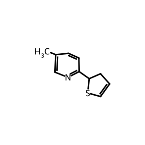 Cc1ccc(C2CC=CS2)nc1